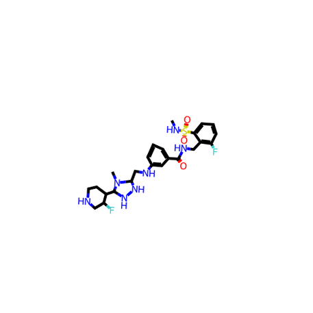 CNS(=O)(=O)c1cccc(F)c1CNC(=O)c1cccc(NCC2NNC(C3CCNCC3F)N2C)c1